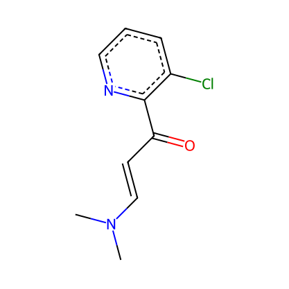 CN(C)C=CC(=O)c1ncccc1Cl